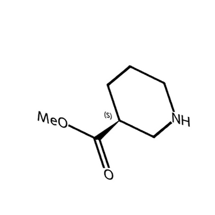 COC(=O)[C@H]1CCCNC1